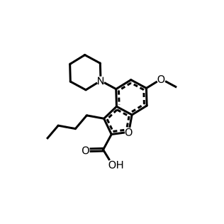 CCCCc1c(C(=O)O)oc2cc(OC)cc(N3CCCCC3)c12